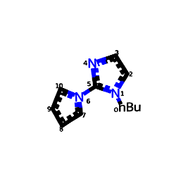 CCCCn1ccnc1-n1cccc1